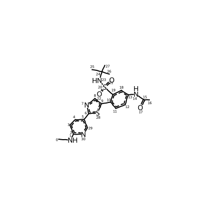 CNc1ccc(-c2ncc(-c3ccc(NC(C)=O)cc3S(=O)(=O)NC(C)(C)C)s2)cn1